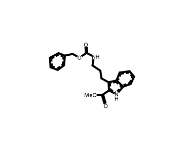 COC(=O)c1[nH]c2ccccc2c1CCCNC(=O)OCc1ccccc1